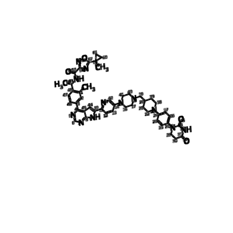 Cc1cc(-c2ncnc3[nH]c(-c4ccc(N5CCN(CC6CCN(c7ccc(N8CCC(=O)NC8=O)cc7)CC6)CC5)cn4)cc23)ccc1[C@@H](C)NC(=O)c1noc(C2(C)CC2)n1